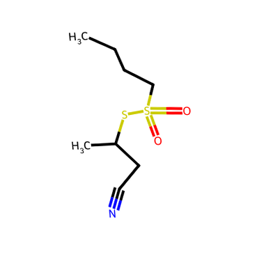 CCCCS(=O)(=O)SC(C)CC#N